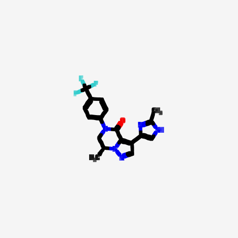 Cc1nc(-c2cnn3c2C(=O)N(c2ccc(C(F)(F)F)cc2)C[C@@H]3C)c[nH]1